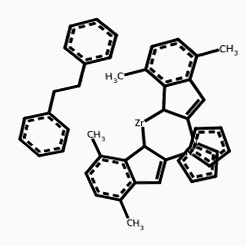 Cc1ccc(C)c2c1C=C(n1cccc1)[CH]2[Zr][CH]1C(n2cccc2)=Cc2c(C)ccc(C)c21.c1ccc(CCc2ccccc2)cc1